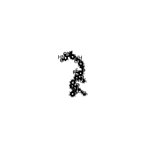 Cn1nc(C2CCC(=O)NC2=O)c2ccc(NC(=O)CN3CCC4(CC3)CC(Oc3ccc(-c5ccc(N6CCc7ccnc(C(=O)N(COCC[Si](C)(C)C)c8nc9ccccc9s8)c7C6)nc5C(=O)OC(C)(C)C)c(C(F)(F)F)c3)C4)cc21